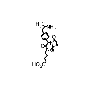 CC(N)Cc1ccc(C(C(=O)NCCCCC(=O)O)N2C(=O)C=CC2=O)cc1